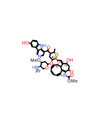 COC(=O)NC1=C2C#C/C=C\C#C[C@H](OC3OC(C)C(C(=O)c4cncc5c4[nH]c4ccc(O)cc45)CC3OC3CC(OC)C(NC(C)C)CO3)C2/C(=C\CS(C)=S)[C@@H](O)CC1=O